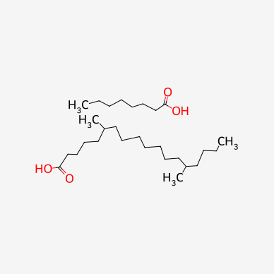 CCCCC(C)CCCCCCCC(C)CCCCC(=O)O.CCCCCCCC(=O)O